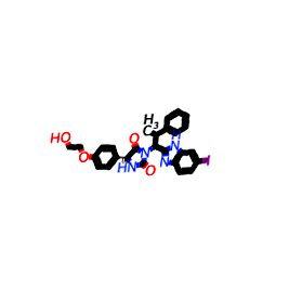 CC(c1ccccc1)C(c1nc2ccc(I)cc2[nH]1)N1C(=O)N[C@H](c2ccc(OCCO)cc2)C1=O